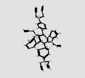 C#CCN(CC#C)c1ccc(C2c3c(n(CC#C)c4ccccc34)C(c3ccc(N(CC#C)CC#C)cc3)c3c2n(CC#C)c2ccccc32)cc1